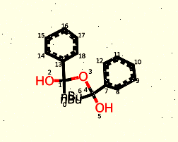 CCCCC(O)(OC(O)(CCCC)c1ccccc1)c1ccccc1